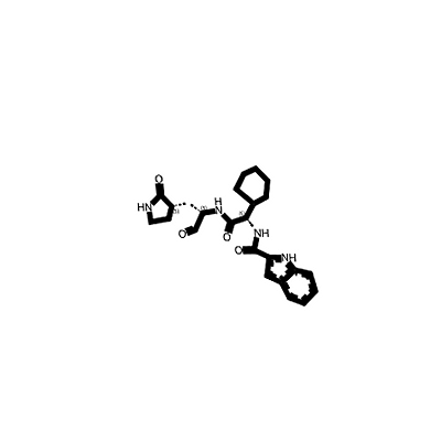 O=C[C@H](C[C@@H]1CCNC1=O)NC(=O)[C@@H](NC(=O)c1cc2ccccc2[nH]1)C1CCCCC1